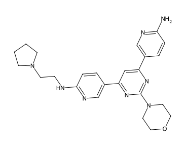 Nc1ccc(-c2cc(-c3ccc(NCCN4CCCC4)nc3)nc(N3CCOCC3)n2)cn1